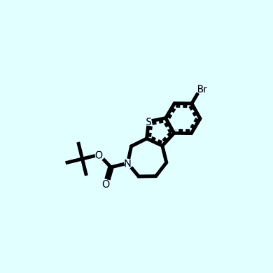 CC(C)(C)OC(=O)N1CCCc2c(sc3cc(Br)ccc23)C1